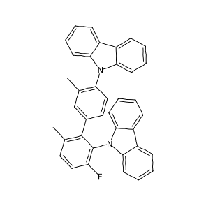 Cc1cc(-c2c(C)ccc(F)c2-n2c3ccccc3c3ccccc32)ccc1-n1c2ccccc2c2ccccc21